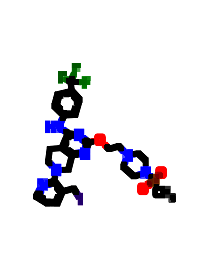 CS(=O)(=O)N1CCN(CCOc2nc3c(c(Nc4ccc(C(F)(F)F)cc4)n2)CCN(c2ncccc2CI)C3)CC1